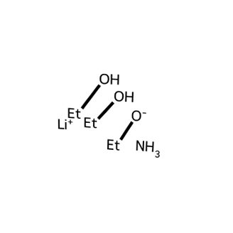 CCO.CCO.CC[O-].N.[Li+]